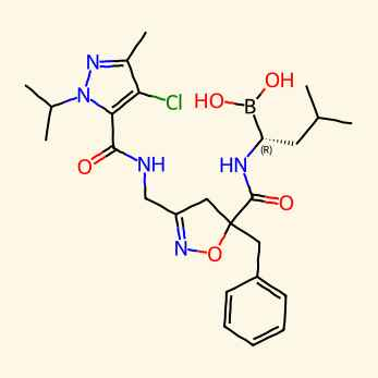 Cc1nn(C(C)C)c(C(=O)NCC2=NOC(Cc3ccccc3)(C(=O)N[C@@H](CC(C)C)B(O)O)C2)c1Cl